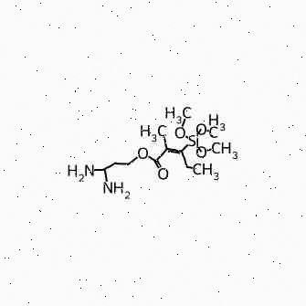 CCC(=C(C)C(=O)OCCC(N)N)[Si](OC)(OC)OC